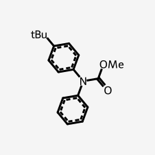 COC(=O)N(c1ccccc1)c1ccc(C(C)(C)C)cc1